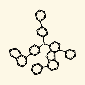 c1ccc(-c2ccc(N(c3ccc(-c4cccc5ccccc45)cc3)c3ccc(-c4ccccc4)c4c3sc3c(-c5ccccc5)cccc34)cc2)cc1